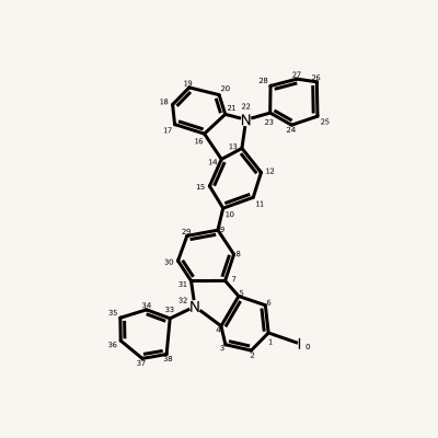 Ic1ccc2c(c1)c1cc(-c3ccc4c(c3)c3ccccc3n4-c3ccccc3)ccc1n2-c1ccccc1